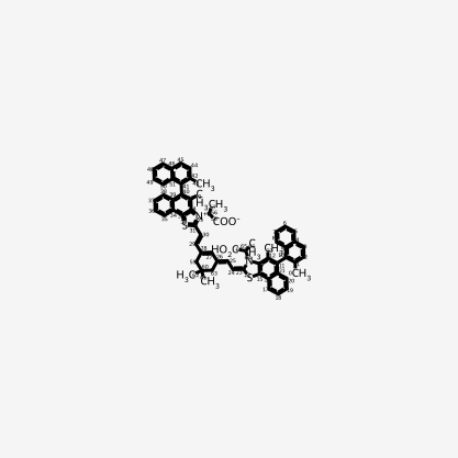 Cc1ccc2ccccc2c1-c1c(C)c2c(c3ccccc13)SC(=CC=C1C=C(C=Cc3sc4c5ccccc5c(-c5c(C)ccc6ccccc56)c(C)c4[n+]3C(C)C(=O)[O-])CC(C)(C)C1)N2C(C)C(=O)O